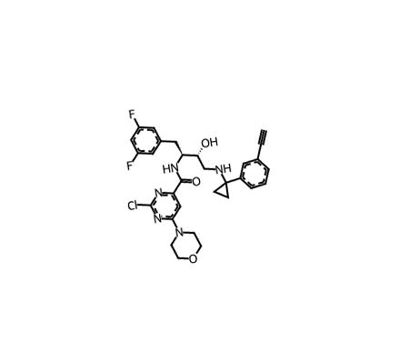 C#Cc1cccc(C2(NC[C@@H](O)[C@H](Cc3cc(F)cc(F)c3)NC(=O)c3cc(N4CCOCC4)nc(Cl)n3)CC2)c1